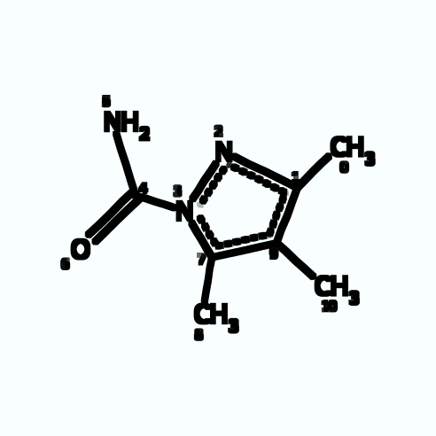 Cc1nn(C(N)=O)c(C)c1C